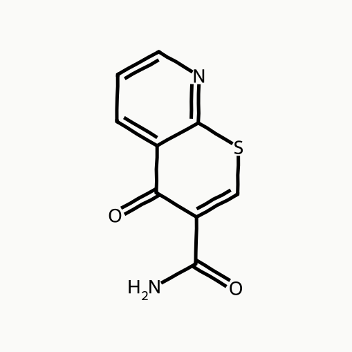 NC(=O)c1csc2ncccc2c1=O